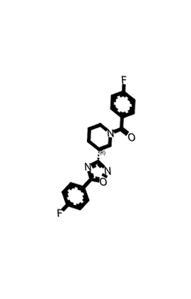 O=C(c1ccc(F)cc1)N1CCC[C@@H](c2noc(-c3ccc(F)cc3)n2)C1